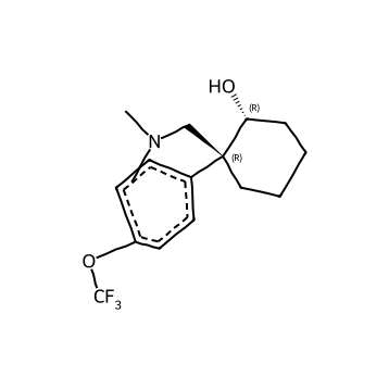 CN(C)C[C@]1(c2ccc(OC(F)(F)F)cc2)CCCC[C@H]1O